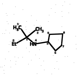 CCC(C)(C)NC1CCCC1